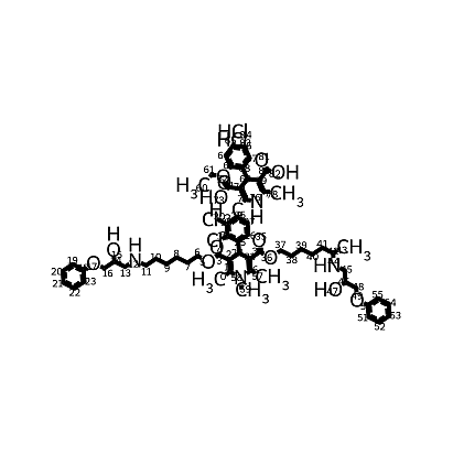 CC1=C(C(=O)OCCCCCCNCC(O)COc2ccccc2)C(c2cccc(Cl)c2Cl)C(C(=O)OCCCCCC(C)NCC(O)COc2ccccc2)=C(C)N1C.CCOc1ccccc1C1C(C(=O)O)=C(C)NC(C)=C1C(=O)O.Cl.Cl